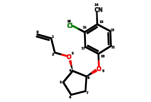 C=CCO[C@H]1CCC[C@@H]1Oc1ccc(C#N)c(Cl)c1